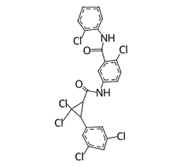 O=C(Nc1ccccc1Cl)c1cc(NC(=O)C2C(c3cc(Cl)cc(Cl)c3)C2(Cl)Cl)ccc1Cl